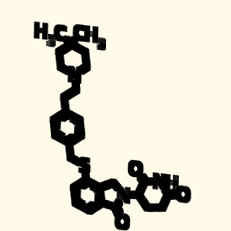 CC1(C)CCN(CCc2ccc(CSc3cccc4c3CN(C3CCC(=O)NC3=O)C4=O)cc2)CC1